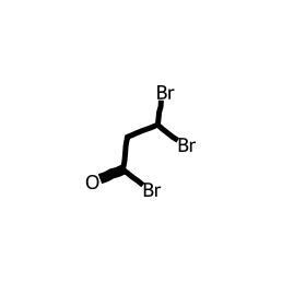 O=C(Br)CC(Br)Br